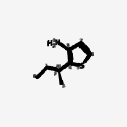 CC[C@H](C)c1sccc1N